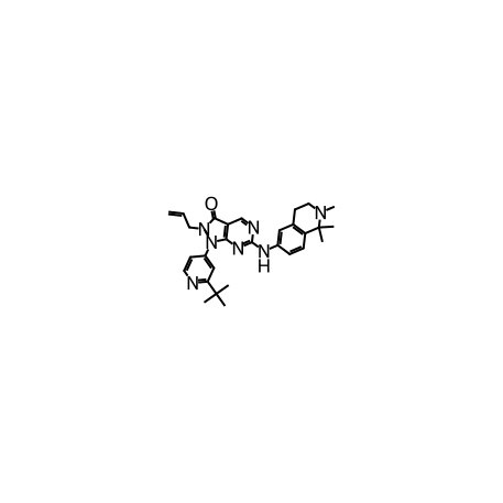 C=CCn1c(=O)c2cnc(Nc3ccc4c(c3)CCN(C)C4(C)C)nc2n1-c1ccnc(C(C)(C)C)c1